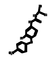 CCC(CC)NC(=O)Nc1ccc(Oc2ccc([N+](=O)[O-])cc2)c(C(C)C)c1